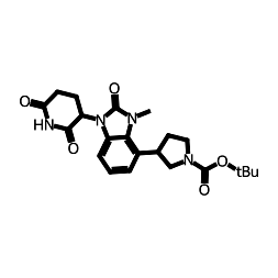 Cn1c(=O)n(C2CCC(=O)NC2=O)c2cccc(C3CCN(C(=O)OC(C)(C)C)C3)c21